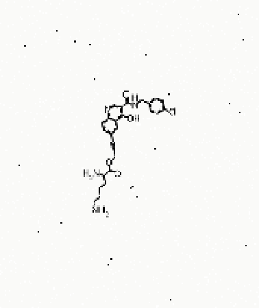 NCCCCC(N)C(=O)OCC#Cc1ccc2ncc(C(=O)NCc3ccc(Cl)cc3)c(O)c2c1